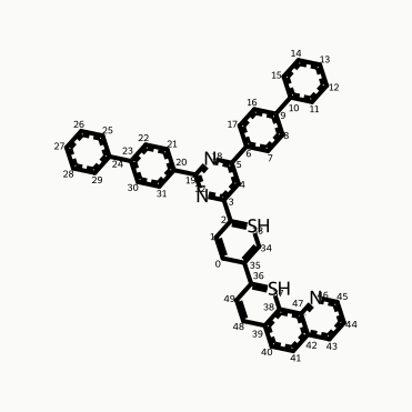 C1=CC(c2cc(-c3ccc(-c4ccccc4)cc3)nc(-c3ccc(-c4ccccc4)cc3)n2)=[SH]C=C1C1=[SH]c2c(ccc3cccnc23)C=C1